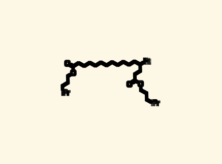 CCC(CCCCCCCCCCCC(=O)OCCCC(C)C)CCC(=O)OCCCC(C)C